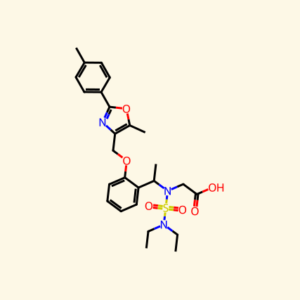 CCN(CC)S(=O)(=O)N(CC(=O)O)C(C)c1ccccc1OCc1nc(-c2ccc(C)cc2)oc1C